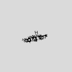 c1cc2cn[nH]c2cc1Nc1nncc(Nc2cc(C3CC3)[nH]n2)n1